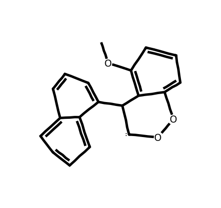 COc1cccc2c1C(c1cccc3ccccc13)[C]OO2